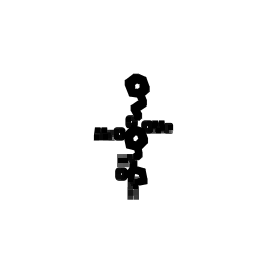 COc1cc(CNC2CCNC2=O)cc(OC)c1OCC=Cc1ccccc1